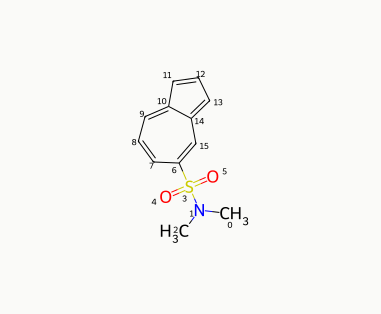 CN(C)S(=O)(=O)c1cccc2cccc-2c1